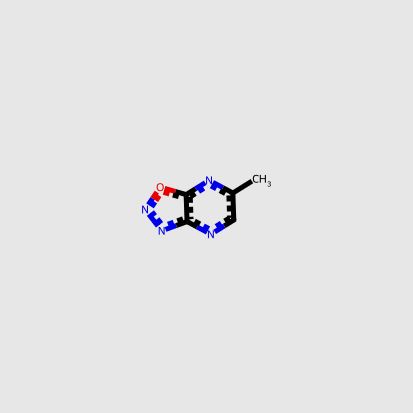 Cc1cnc2nnoc2n1